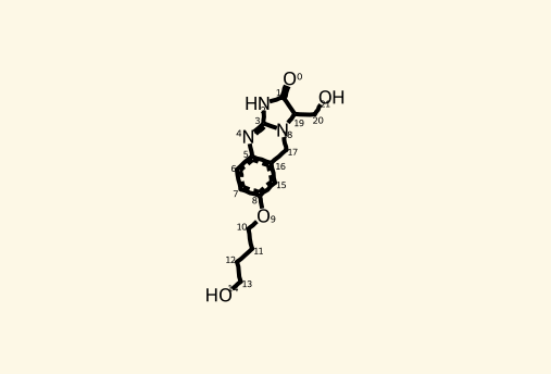 O=C1NC2=Nc3ccc(OCCCCO)cc3CN2C1CO